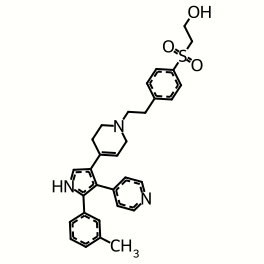 Cc1cccc(-c2[nH]cc(C3=CCN(CCc4ccc(S(=O)(=O)CCO)cc4)CC3)c2-c2ccncc2)c1